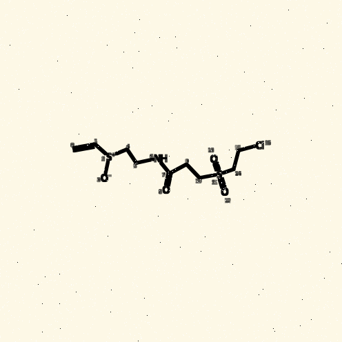 C=C[S+]([O-])CCNC(=O)CCS(=O)(=O)CCCl